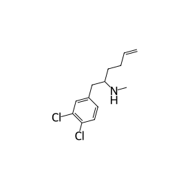 C=CCCC(Cc1ccc(Cl)c(Cl)c1)NC